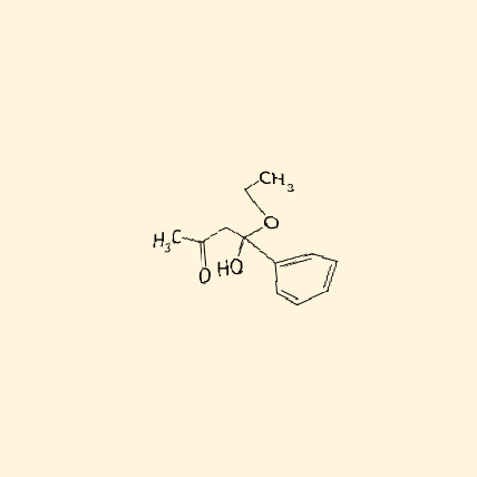 CCOC(O)(CC(C)=O)c1ccccc1